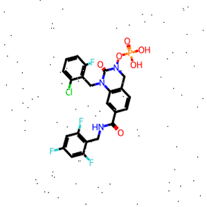 O=C(NCc1c(F)cc(F)cc1F)c1ccc2c(c1)N(Cc1c(F)cccc1Cl)C(=O)N(OP(=O)(O)O)C2